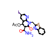 CC(=O)Oc1c(C(N)=O)c(=O)n(Cc2nc3ccccc3s2)c2ncc(I)cc12